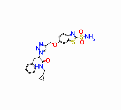 NS(=O)(=O)c1nc2ccc(OCc3cn(C(Cc4ccccc4)C(=O)NCC4CC4)nn3)cc2s1